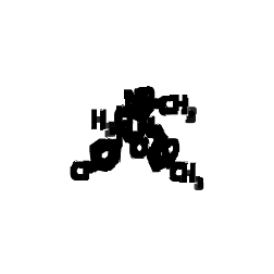 Cc1ccc(CN(C(=O)Nc2ccc(Cl)cc2)c2c(C)noc2C)o1